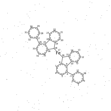 c1ccc(-c2cccc3c2-c2ccccc2[CH]3[Fe][CH]2c3ccccc3-c3c(-c4ccccc4)cccc32)cc1